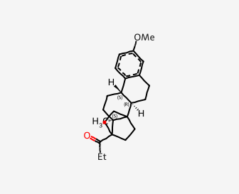 CCC(=O)C12CCC3(CC1)[C@@H]1CCc4cc(OC)ccc4[C@H]1CC[C@]23C